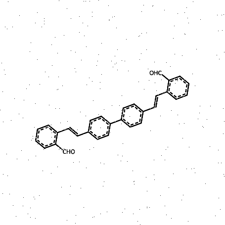 O=Cc1ccccc1C=Cc1ccc(-c2ccc(C=Cc3ccccc3C=O)cc2)cc1